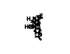 CC(C)Oc1ccc(Nc2ncc(C3CCC3)c(N)n2)cc1.Cl